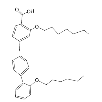 CCCCCCCOc1cc(C)ccc1C(=O)O.CCCCCCOc1ccccc1-c1ccccc1